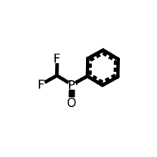 O=[P](c1ccccc1)C(F)F